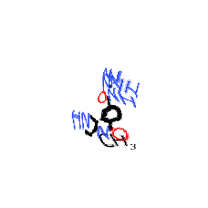 CN(C(=O)c1ccc(C(=O)Nc2nnn[nH]2)cc1)C1CCNCC1